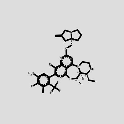 C=C1CN2CCC[C@@]2(COc2nc3c4c(nc(-c5cc(N)c(F)c(C)c5C(F)(F)F)c(F)c4n2)O[C@@H](C)[C@@H]2[C@H](CC)NCCN32)C1